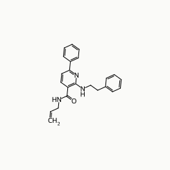 C=CCNC(=O)c1ccc(-c2ccccc2)nc1NCCc1ccccc1